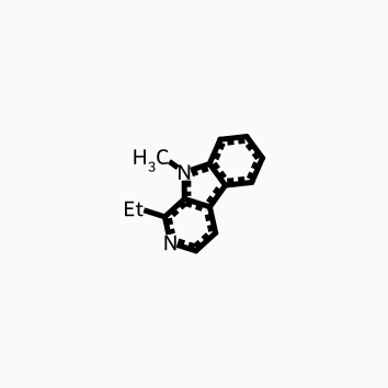 CCc1nccc2c3ccccc3n(C)c12